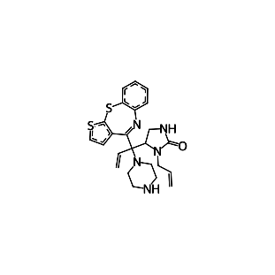 C=CCN1C(=O)NCC1C(C=C)(C1=Nc2ccccc2Sc2sccc21)N1CCNCC1